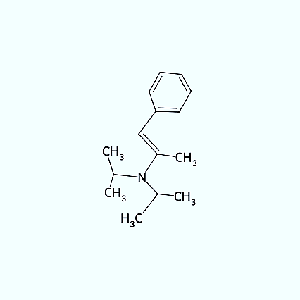 CC(=Cc1ccccc1)N(C(C)C)C(C)C